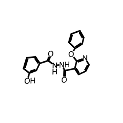 O=C(NNC(=O)c1cccnc1Oc1ccccc1)c1cccc(O)c1